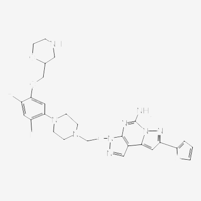 Nc1nc2c(cnn2CCN2CCN(c3cc(OCC4CNCCO4)c(F)cc3F)CC2)c2cc(-c3ccco3)nn12